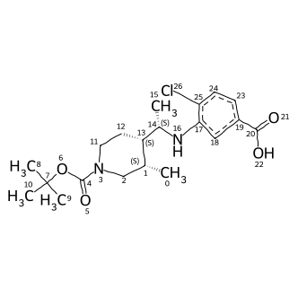 C[C@@H]1CN(C(=O)OC(C)(C)C)CC[C@@H]1[C@H](C)Nc1cc(C(=O)O)ccc1Cl